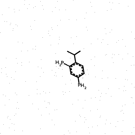 CC(C)c1ccc(P)cc1P